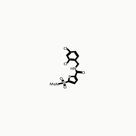 CNS(=O)(=O)c1ccc(C(=O)NCc2ccc(Cl)cc2Cl)s1